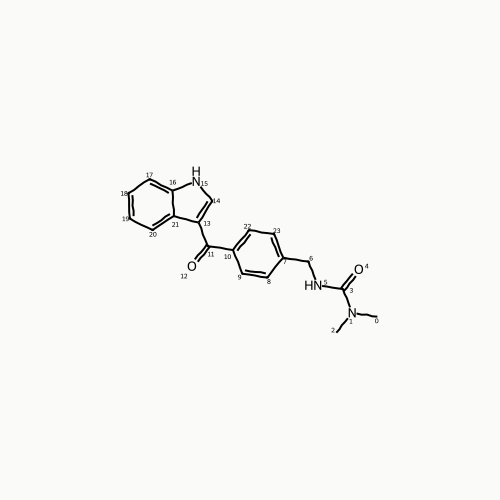 CN(C)C(=O)NCc1ccc(C(=O)c2c[nH]c3ccccc23)cc1